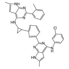 Cc1cc2c(Nc3cccc(Cl)c3)nc(-c3cccc(C4CC4Nc4nc(-c5ccccc5C)nc5[nH]c(C)cc45)c3)nc2[nH]1